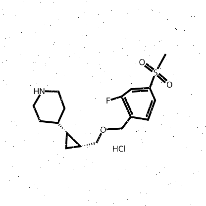 CS(=O)(=O)c1ccc(COC[C@@H]2C[C@@H]2C2CCNCC2)c(F)c1.Cl